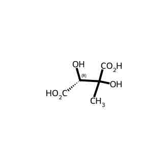 CC(O)(C(=O)O)[C@@H](O)C(=O)O